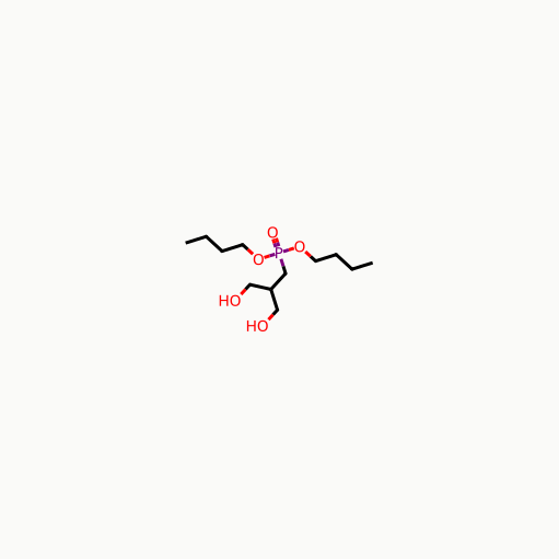 CCCCOP(=O)(CC(CO)CO)OCCCC